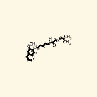 COC1C=c2cccnc2=CC1OCCCCCNC(=O)CSOC(C)C